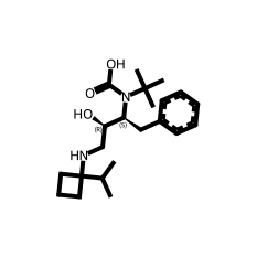 CC(C)C1(NC[C@@H](O)[C@H](Cc2ccccc2)N(C(=O)O)C(C)(C)C)CCC1